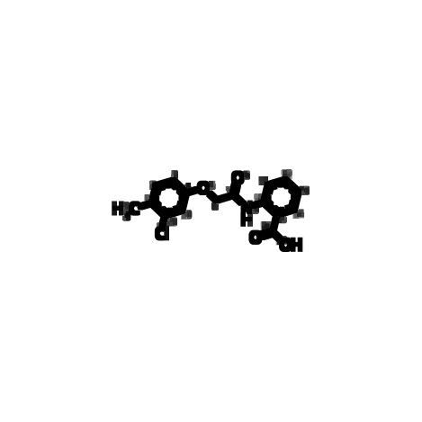 Cc1ccc(OCC(=O)Nc2ccccc2C(=O)O)cc1Cl